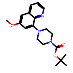 COc1cc(N2CCN(C(=O)OC(C)(C)C)CC2)c2ncccc2c1